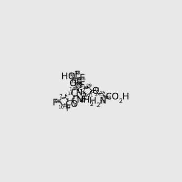 Nc1c(C(=O)c2ccc(F)cc2F)ccc(=O)n1-c1c(F)cc(OCC[C@@H](N)C(=O)O)cc1F.O=C(O)C(F)(F)F